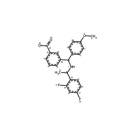 COc1ccc(C(NC(C)c2ccc(F)cc2F)c2cccc([N+](=O)[O-])c2)cc1